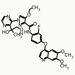 CCOc1cn(-c2nccnc2C(C)(O)CO)nc1C(=O)Nc1ccc(Oc2ccnc3cc(OC)c(OC)cc23)cc1F